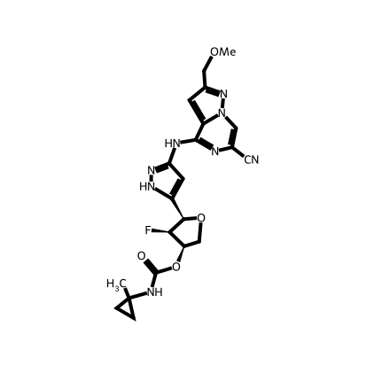 COCc1cc2c(Nc3cc([C@H]4OC[C@@H](OC(=O)NC5(C)CC5)[C@H]4F)[nH]n3)nc(C#N)cn2n1